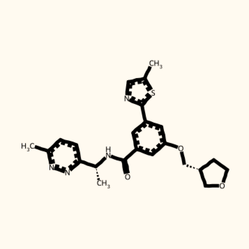 Cc1ccc([C@@H](C)NC(=O)c2cc(OC[C@@H]3CCOC3)cc(-c3ncc(C)s3)c2)nn1